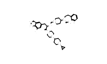 O=C(OC(Cc1cc(Cl)c2[nH]ncc2c1)C(=O)N1CCN(C2CCN(C3CC3)CC2)CC1)N1CCC(N2CCc3ccccc3NC2=O)CC1